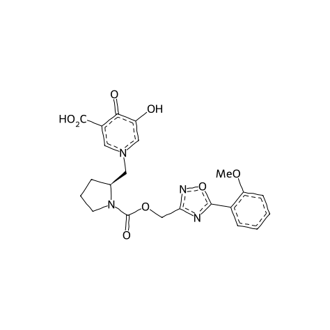 COc1ccccc1-c1nc(COC(=O)N2CCC[C@H]2Cn2cc(O)c(=O)c(C(=O)O)c2)no1